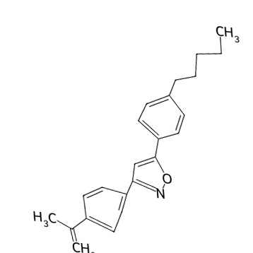 C=C(C)c1ccc(-c2cc(-c3ccc(CCCCC)cc3)on2)cc1